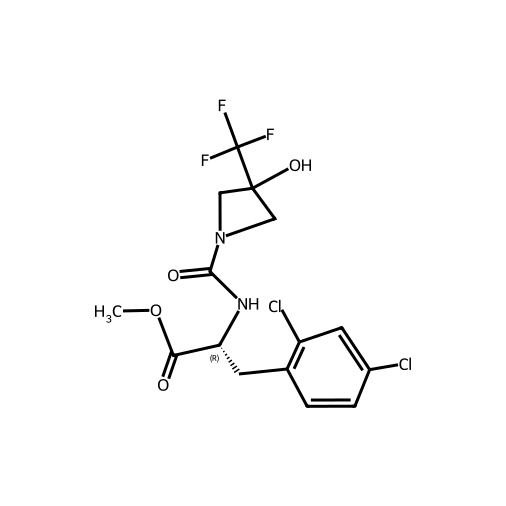 COC(=O)[C@@H](Cc1ccc(Cl)cc1Cl)NC(=O)N1CC(O)(C(F)(F)F)C1